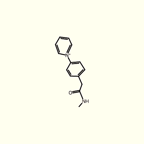 CNC(=O)Cc1ccc(-[n+]2ccccc2)cc1